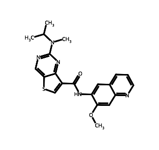 COc1cc2ncccc2cc1NC(=O)c1csc2cnc(N(C)C(C)C)nc12